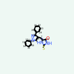 O=C1NC(=S)N/C1=C\c1cn(-c2ccccc2)nc1-c1ccccc1